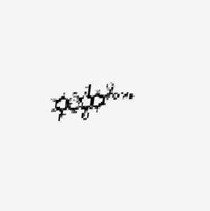 COC(=O)c1ccc2c(=O)n(Cc3ccccc3F)c(=O)[nH]c2c1